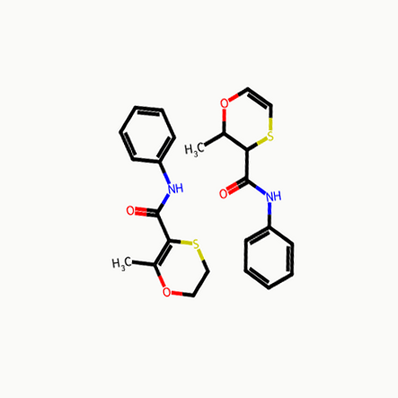 CC1=C(C(=O)Nc2ccccc2)SCCO1.CC1OC=CSC1C(=O)Nc1ccccc1